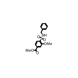 COC(=O)c1ccc(S(=O)(=O)NCc2ccccc2)c(OC)c1